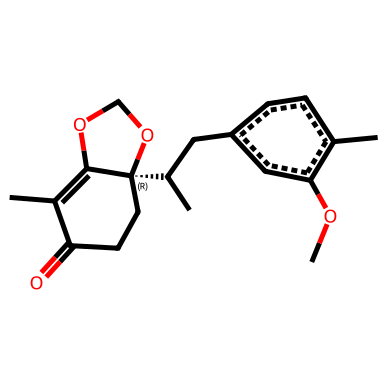 COc1cc(CC(C)[C@]23CCC(=O)C(C)=C2OCO3)ccc1C